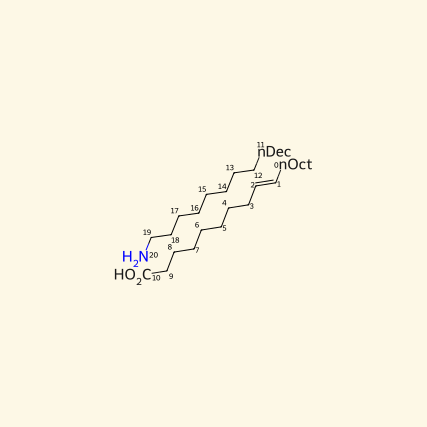 CCCCCCCCC=CCCCCCCCC(=O)O.CCCCCCCCCCCCCCCCCCN